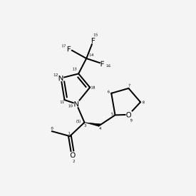 CC(=O)[C@H](CC1CCCO1)n1cnc(C(F)(F)F)c1